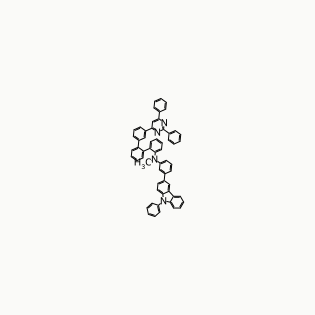 CN(c1cccc(-c2ccc3c(c2)c2ccccc2n3-c2ccccc2)c1)c1ccccc1-c1ccccc1-c1cccc(-c2cc(-c3ccccc3)nc(-c3ccccc3)n2)c1